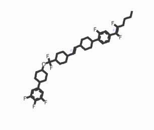 CCCC/C(F)=C(\F)c1ccc(C2CCC(/C=C/C3CCC(C(F)(F)OC4CCC(c5cc(F)c(F)c(F)c5)CC4)CC3)CC2)c(F)c1